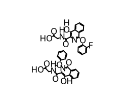 COc1ccccc1Oc1nc(C(=O)NCC(=O)O)c(O)c2ccccc12.O=C(O)CNC(=O)c1nc(Oc2ccccc2F)c2ccccc2c1O